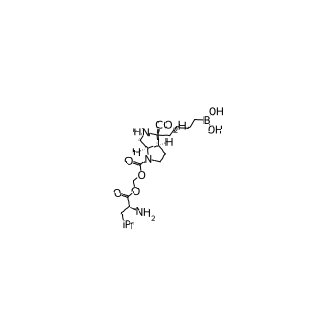 CC(C)C[C@H](N)C(=O)OCOC(=O)N1CC[C@H]2[C@@H]1CN[C@@]2(CCCCB(O)O)C(=O)O